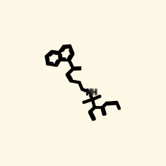 C=CC(C(=C)/C=C\C)C(C)(C)NCC/C=C\C(=C)c1cccc2ccccc12